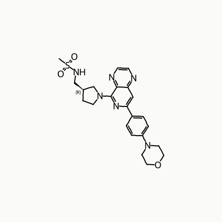 CS(=O)(=O)NC[C@@H]1CCN(c2nc(-c3ccc(N4CCOCC4)cc3)cc3nccnc23)C1